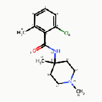 Cc1cccc(Cl)c1C(=O)NC1(C)CCN(C)CC1